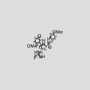 COc1ccc(CNC(=O)C(CCCNC(=N)CF)NC(=O)c2cc(Cl)ccc2OC)cc1